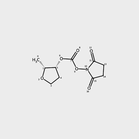 C[C@H]1OCC[C@H]1OC(=O)ON1C(=O)CCC1=O